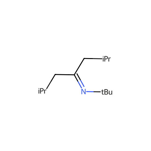 CC(C)CC(CC(C)C)=NC(C)(C)C